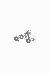 Cc1cccc(F)c1N1CCC(N2Cc3cn(C)nc3N(Cc3ccccc3O)C2=O)CC1